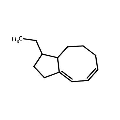 CCC1CCC2=CC=CCCCC21